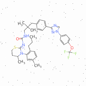 CCCc1ccc(C)cc1N1/C(=N/C(=O)NCC(C)(C)Cc2ccc(-c3ncn(-c4ccc(OC(F)(F)F)cc4)n3)cc2)SCCC1C